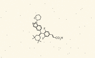 CC1(C)CC(=C(c2ccc3c(cnn3C3CCCCO3)c2)c2c(F)cc(/C=C/C(=O)O)cc2F)CC(C)(C)C1